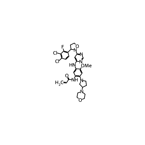 C=CC(=O)Nc1cc(Nc2cc(N3OCCC3c3ccc(Cl)c(Cl)c3F)ncn2)c(OC)cc1N1CCC(N2CCOCC2)C1